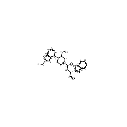 CCc1cc2c(N3CCN(C(CCC=O)On4nnc5ccccc54)CC3CC)ncnc2s1